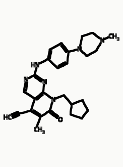 C#Cc1c(C)c(=O)n(CC2CCCC2)c2nc(Nc3ccc(N4CCN(C)CC4)cc3)ncc12